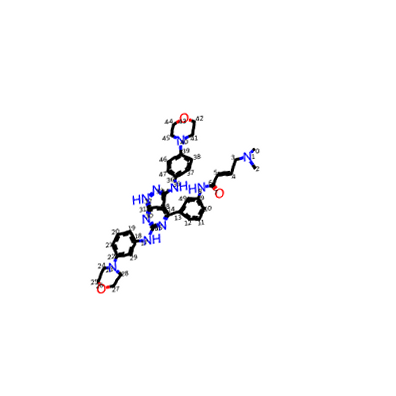 CN(C)C/C=C/C(=O)Nc1cccc(-c2nc(Nc3cccc(N4CCOCC4)c3)nc3[nH]nc(Nc4ccc(N5CCOCC5)cc4)c23)c1